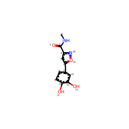 CNC(=O)c1cc(-c2ccc(O)c(O)c2)on1